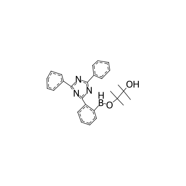 CC(C)(O)C(C)(C)OBc1ccccc1-c1nc(-c2ccccc2)nc(-c2ccccc2)n1